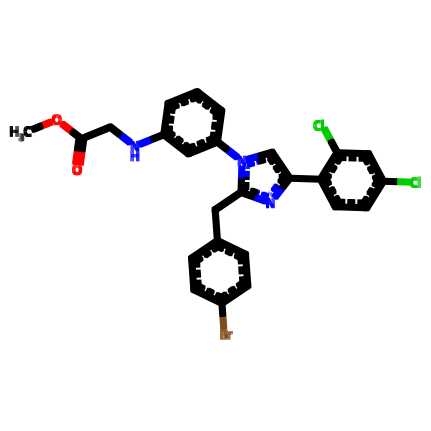 COC(=O)CNc1cccc(-n2cc(-c3ccc(Cl)cc3Cl)nc2Cc2ccc(Br)cc2)c1